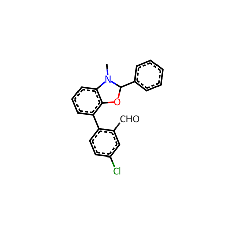 CN1c2cccc(-c3ccc(Cl)cc3C=O)c2OC1c1ccccc1